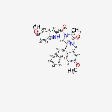 COc1cccc(CN2C(=O)[C@@H](C)N(C(=O)c3cc4cc(OC)ccc4[nH]3)C[C@@H]2CCc2ccccc2)c1